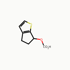 O=C(O)OC1CCc2ccsc21